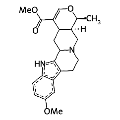 COC(=O)C1=CO[C@@H](C)[C@H]2CN3CCc4c([nH]c5ccc(OC)cc45)C3CC12